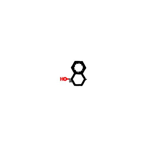 O[C@H]1CC[CH]c2ccccc21